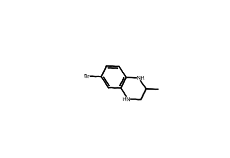 CC1CNc2cc(Br)ccc2N1